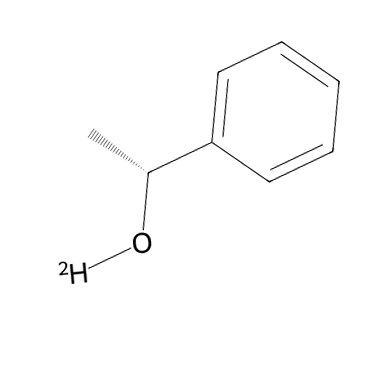 [2H]O[C@H](C)c1ccccc1